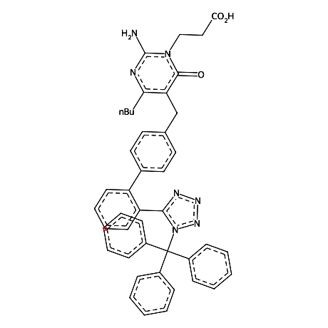 CCCCc1nc(N)n(CCC(=O)O)c(=O)c1Cc1ccc(-c2ccccc2-c2nnnn2C(c2ccccc2)(c2ccccc2)c2ccccc2)cc1